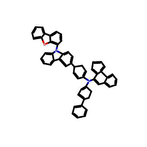 C1=CC(c2ccc3c(c2)c2ccccc2n3-c2cccc3c2oc2ccccc23)CC=C1N(C1=CC=C(c2ccccc2)CC1)c1cc2ccccc2c2ccccc12